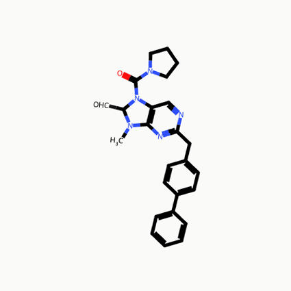 CN1c2nc(Cc3ccc(-c4ccccc4)cc3)ncc2N(C(=O)N2CCCC2)C1C=O